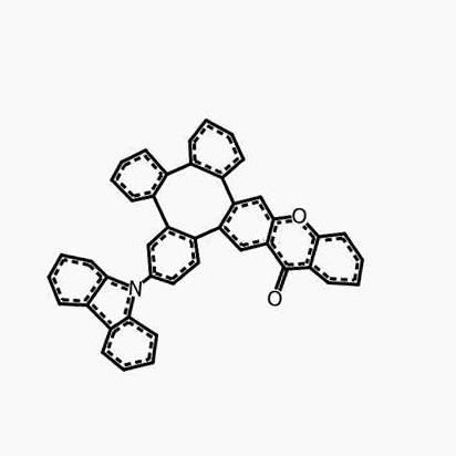 O=c1c2ccccc2oc2cc3c(cc12)-c1ccc(-n2c4ccccc4c4ccccc42)cc1-c1ccccc1-c1ccccc1-3